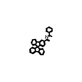 C=C(/N=C(\C)c1ccccc1)c1ccc2c(c1)-c1ccccc1C21c2ccccc2-c2ccccc21